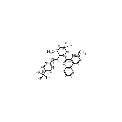 Cc1ccc(-c2ccccn2)c(C(=O)N2CC(F)(F)C[C@@H](C)C2CNc2ncc(C(F)(F)F)cn2)n1